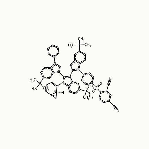 CC(C)(C)c1ccc2c(c1)cc(-c1c(-c3cn(-c4ccccc4)c4ccc(C(C)(C)C)cc34)n(C3=CC=CC4=C[C@@H]43)c3ccc(C(C)(C)C)cc13)n2-c1ccc(S(=O)(=O)c2ccc(C#N)cc2C#N)cc1